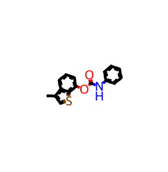 Cc1csc2c(OC(=O)Nc3ccccc3)cccc12